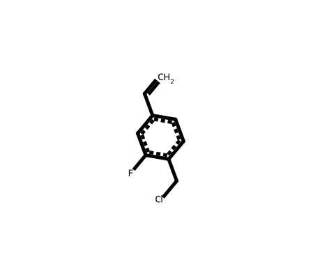 C=Cc1ccc(CCl)c(F)c1